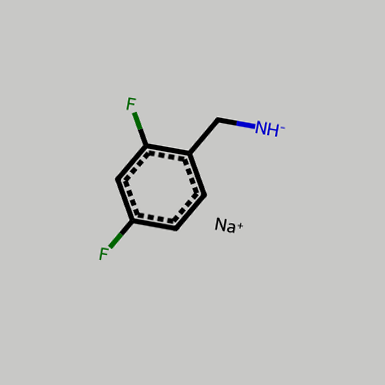 [NH-]Cc1ccc(F)cc1F.[Na+]